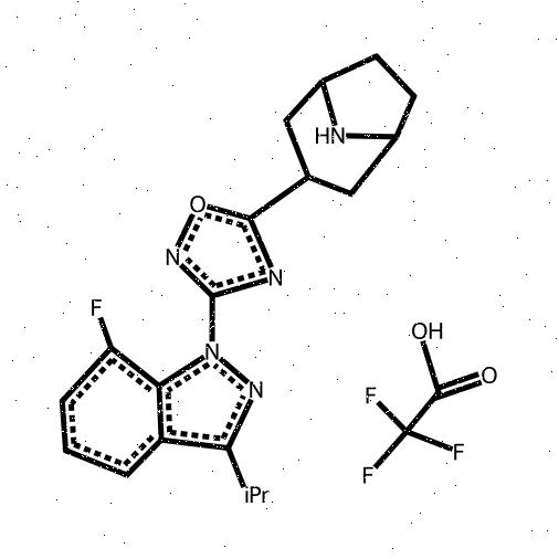 CC(C)c1nn(-c2noc(C3CC4CCC(C3)N4)n2)c2c(F)cccc12.O=C(O)C(F)(F)F